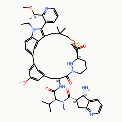 CCn1c(-c2cccnc2[C@H](C)OC)c2c3cc(ccc31)-c1cc(O)cc(c1)C[C@H](NC(=O)[C@H](C(C)C)N(C)C(=O)[C@H]1Cc3ncccc3[C@H]1N)C(=O)N1CCC[C@@](C3=CS3)(N1)C(=O)OCC(C)(C)C2